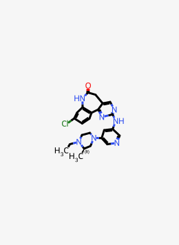 CCN1CCN(c2cncc(Nc3ncc4c(n3)-c3ccc(Cl)cc3NC(=O)C4)c2)C[C@H]1C